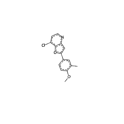 COc1ccc(-c2cc3nccc(Cl)c3o2)cc1C